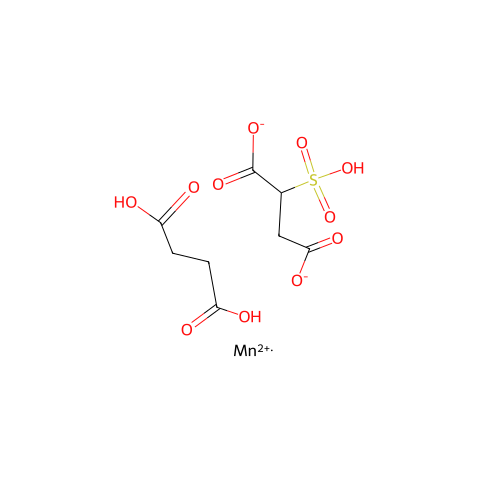 O=C(O)CCC(=O)O.O=C([O-])CC(C(=O)[O-])S(=O)(=O)O.[Mn+2]